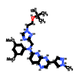 COc1cc(OC)cc(N(Cc2ncn(CCO[Si](C)(C)C(C)(C)C)n2)c2ccc3ncc(-c4cnn(C)c4)nc3n2)c1